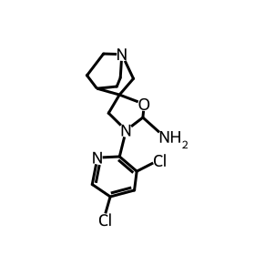 NC1OC2(CN3CCC2CC3)CN1c1ncc(Cl)cc1Cl